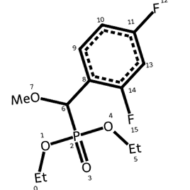 CCOP(=O)(OCC)C(OC)c1ccc(F)cc1F